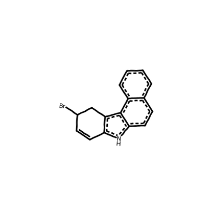 BrC1C=Cc2[nH]c3ccc4ccccc4c3c2C1